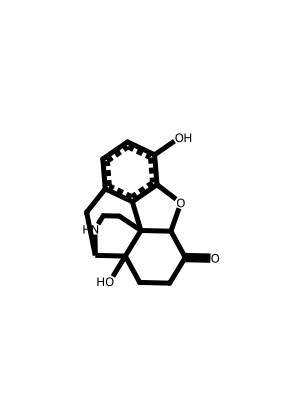 O=C1CCC2(O)C3Cc4ccc(O)c5c4C2(CCN3)C1O5